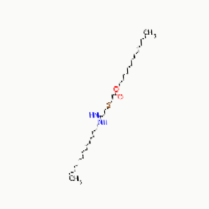 CCCCCCCCCCCCCCCCNC(=N)CCCSCCC(=O)OCCCCCCCCCCCCCCCC